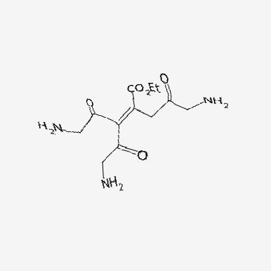 CCOC(=O)C(CC(=O)CN)=C(C(=O)CN)C(=O)CN